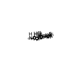 CNCc1ccc2c(c1)CCC(n1ccc(OCc3ccc(C(F)(F)F)cn3)cc1=O)=C2.Cl.Cl